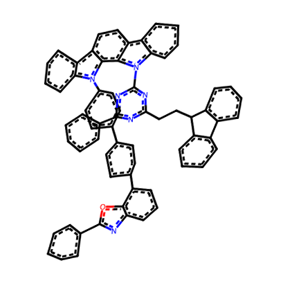 c1ccc(-c2nc(CCC3c4ccccc4-c4ccccc43)nc(-n3c4ccccc4c4ccc5c6ccccc6n(-c6ccc(-c7ccc(-c8cccc9nc(-c%10ccccc%10)oc89)cc7)cc6)c5c43)n2)cc1